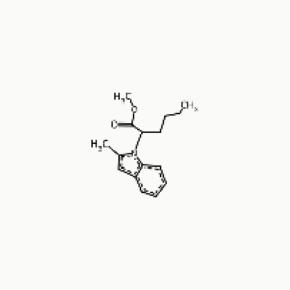 CCCCC(C(=O)OC)n1c(C)cc2ccccc21